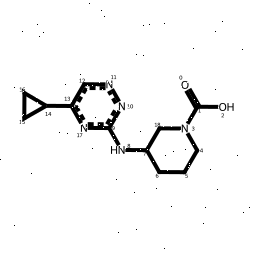 O=C(O)N1CCCC(Nc2nncc(C3CC3)n2)C1